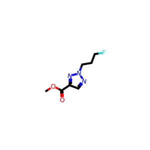 COC(=O)c1cnn(CCCF)n1